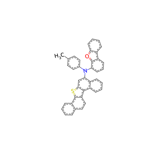 Cc1ccc(N(c2cc3sc4c5ccccc5ccc4c3c3ccccc23)c2cccc3c2oc2ccccc23)cc1